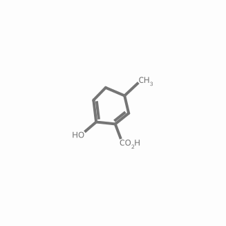 CC1C=C(C(=O)O)C(O)=CC1